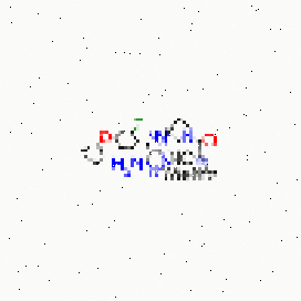 CNC1(/C=C(\C#N)C(=O)N2CCC[C@H](n3nc(-c4ccc(Oc5ccccc5)cc4F)c4c(N)ncnc43)C2)CC1